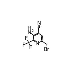 N#Cc1cc([CH]Br)nc(C(F)(F)F)c1N